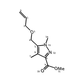 C=CCOCc1c(C)c(C(=O)OC)nn1C